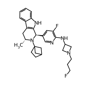 C[C@@H]1Cc2c([nH]c3ccccc23)[C@@H](c2cnc(NC3CN(CCCF)C3)c(F)c2)N1C12CCC(C1)C2